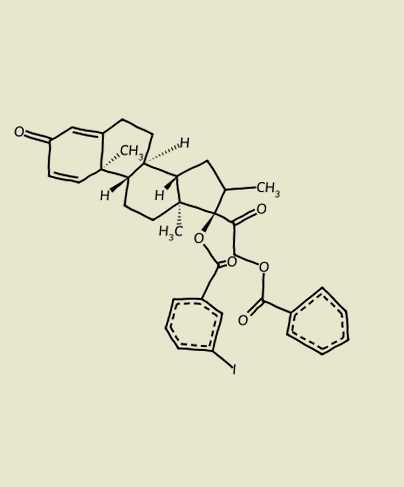 CC1C[C@H]2[C@@H]3CCC4=CC(=O)C=C[C@]4(C)[C@H]3CC[C@]2(C)[C@@]1(OC(=O)c1cccc(I)c1)C(=O)COC(=O)c1ccccc1